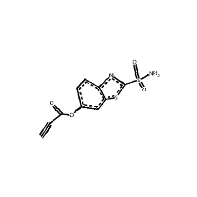 C#CC(=O)Oc1ccc2nc(S(N)(=O)=O)sc2c1